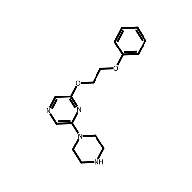 c1ccc(OCCOc2cncc(N3CCNCC3)n2)cc1